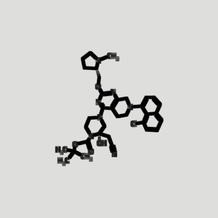 CN1CCC[C@H]1COc1nc2c(c(N3CCN(C(=O)OC(C)(C)C)[C@](O)(CC#N)C3)n1)CCN(c1cccc3cccc(Cl)c13)C2